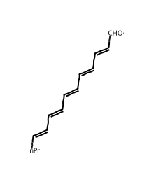 CCCC=CC=CC=CC=CC=C[C]=O